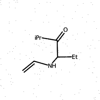 C=CNC(CC)C(=O)C(C)C